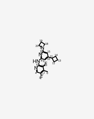 Cc1c(F)cnc(Nc2cc(C3CCC3)cc(N3CCC3)n2)c1F